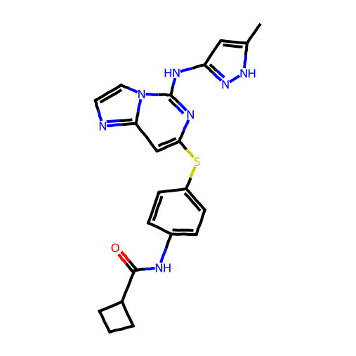 Cc1cc(Nc2nc(Sc3ccc(NC(=O)C4CCC4)cc3)cc3nccn23)n[nH]1